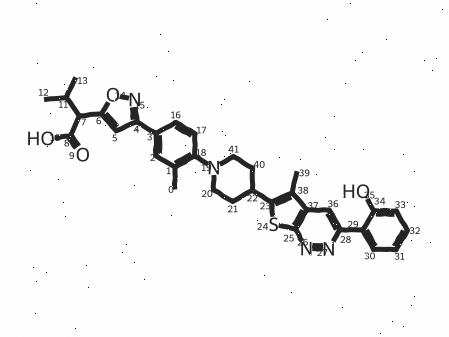 Cc1cc(-c2cc(C(C(=O)O)C(C)C)on2)ccc1N1CCC(c2sc3nnc(-c4ccccc4O)cc3c2C)CC1